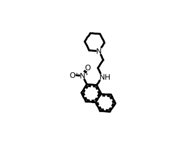 O=[N+]([O-])c1ccc2ccccc2c1NCCN1CCCCC1